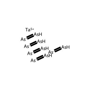 [As-]=[AsH].[As-]=[AsH].[As-]=[AsH].[As-]=[AsH].[As-]=[AsH].[Ta+5]